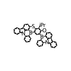 CC(C)c1c2c(cc3c1Sc1ccc4c5ccccc5n5c4c1B3c1ccccc1-5)B1c3ccccc3-n3c4ccccc4c4ccc(c1c43)O2